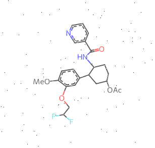 COc1ccc(C2CC(OC(C)=O)CCC2NC(=O)c2cccnc2)cc1OCC(F)F